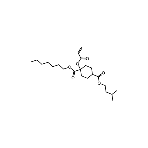 C=CC(=O)OC1(C(=O)OCCCCCCC)CCC(C(=O)OCCC(C)C)CC1